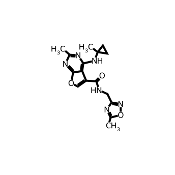 Cc1nc(NC2(C)CC2)c2c(C(=O)NCc3noc(C)n3)coc2n1